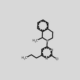 CCCc1cc(N2CCc3ccccc3C2C)nc(Cl)n1